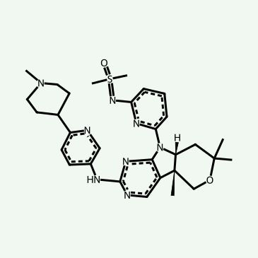 CN1CCC(c2ccc(Nc3ncc4c(n3)N(c3cccc(N=S(C)(C)=O)n3)[C@@H]3CC(C)(C)OC[C@]43C)cn2)CC1